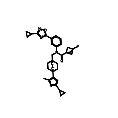 Cn1nc(C2CC2)cc1C12CCC(CN(C(=O)C34CC(F)(C3)C4)c3cccc(-c4nc(C5CC5)no4)c3)(CC1)CC2